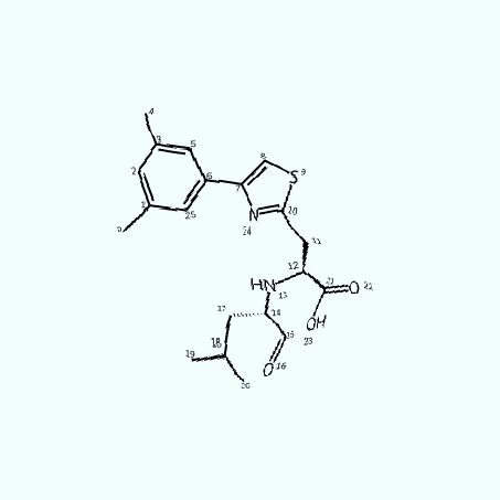 Cc1cc(C)cc(-c2csc(C[C@H](N[C@H](C=O)CC(C)C)C(=O)O)n2)c1